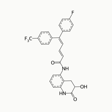 O=C(C=CC=C(c1ccc(F)cc1)c1ccc(C(F)(F)F)cc1)Nc1cccc2c1CC(O)C(=O)N2